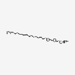 CC(C)CCCCCCCCCCCCCCCOCCOCCOC(C)C